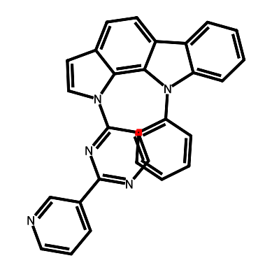 c1ccc(-n2c3ccccc3c3ccc4ccn(-c5ccnc(-c6cccnc6)n5)c4c32)cc1